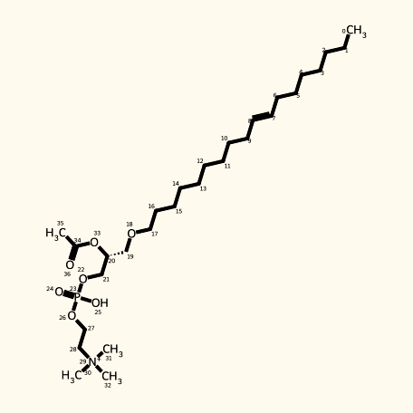 CCCCCCC/C=C/CCCCCCCCCOC[C@H](COP(=O)(O)OCC[N+](C)(C)C)OC(C)=O